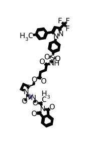 Cc1ccc(-c2cc(C(F)(F)F)nn2-c2ccc(S(=O)(=O)NC(=O)CCC(=O)OC[C@@H]3CCN3/[N+]([O-])=N/OC(C)N3C(=O)c4ccccc4C3=O)cc2)cc1